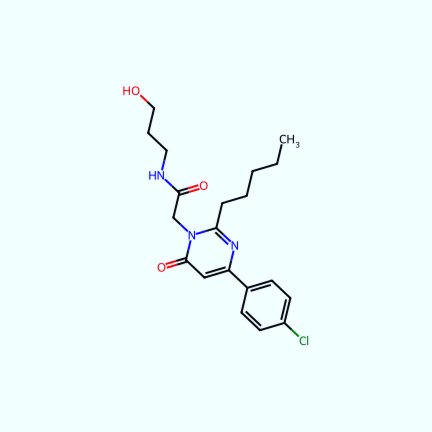 CCCCCc1nc(-c2ccc(Cl)cc2)cc(=O)n1CC(=O)NCCCO